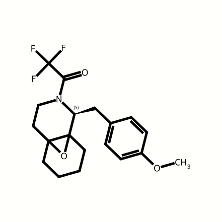 COc1ccc(C[C@@H]2N(C(=O)C(F)(F)F)CCC34CCCCC23O4)cc1